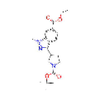 CCOC(=O)c1ccc2c(C3=CCN(C(=O)OC(C)(C)C)C3)nn(C)c2c1